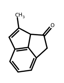 CC1=Cc2cccc3c2C1C(=O)C3